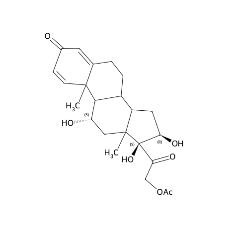 CC(=O)OCC(=O)[C@@]1(O)[C@H](O)CC2C3CCC4=CC(=O)C=CC4(C)C3[C@@H](O)CC21C